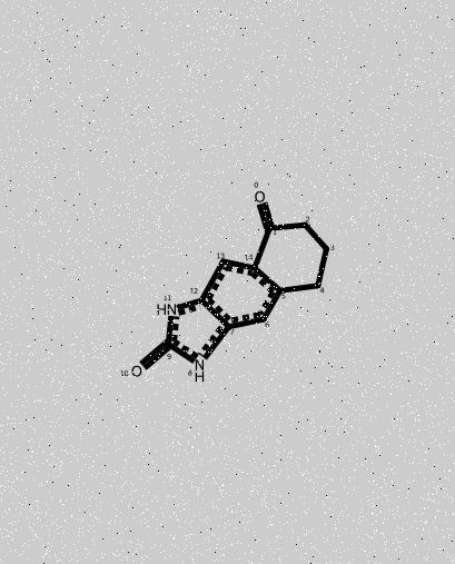 O=C1[CH]CCc2cc3[nH]c(=O)[nH]c3cc21